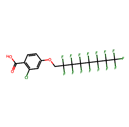 O=C(O)c1ccc(OCC(F)(F)C(F)(F)C(F)(F)C(F)(F)C(F)(F)C(F)(F)C(F)(F)F)cc1Cl